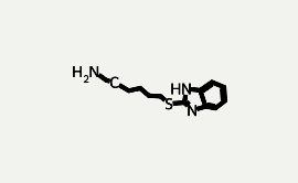 NCCCCCCSc1nc2ccccc2[nH]1